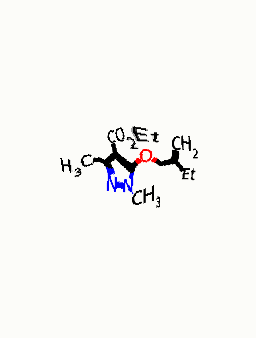 C=C(CC)COc1c(C(=O)OCC)c(C)nn1C